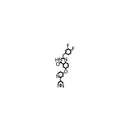 Cn1cc(-c2cc(Oc3ccc4nc(Cc5ccc(F)c(F)c5)[nH]c(=O)c4c3)ccn2)cn1